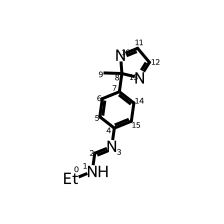 CCNC=Nc1ccc(C2(C)N=CC=N2)cc1